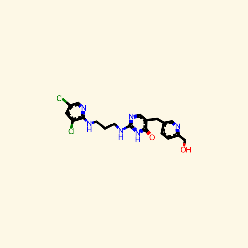 O=c1[nH]c(NCCCNc2ncc(Cl)cc2Cl)ncc1Cc1ccc(CO)nc1